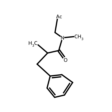 CC(=O)CN(C)C(=O)C(C)Cc1ccccc1